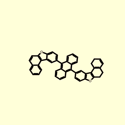 C1=CC2=C(CC1)c1c(oc3ccc(-c4c5ccccc5c(-c5ccc6oc7ccc8ccccc8c7c6c5)c5ccccc45)cc13)CC2